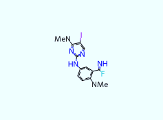 CNc1ccc(Nc2ncc(I)c(NC)n2)cc1C(=N)F